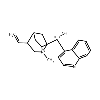 C=CC1C[N+]2(C)CCC1CC2[C@H](O)c1ccnc2ccccc12